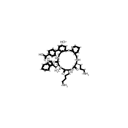 CN1C(=O)[C@H](CCCCN)NC(=O)[C@H](CCCN)NCc2cccnc2Sc2cccc(-c3ccc(C(=O)O)cc3)c2CNC(=O)[C@@H]1Cc1c[nH]c2ccccc12.Cl